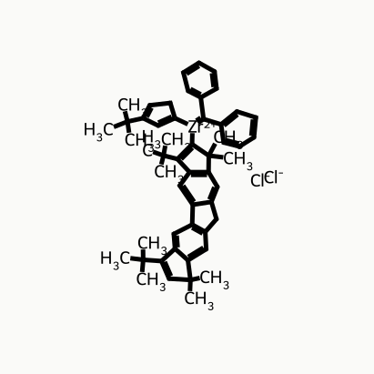 CC(C)(C)C1=CC[C]([Zr+2]([C]2=C(C(C)(C)C)c3cc4c(cc3C2(C)C)Cc2cc3c(cc2-4)C(C(C)(C)C)=CC3(C)C)=[C](c2ccccc2)c2ccccc2)=C1.[Cl-].[Cl-]